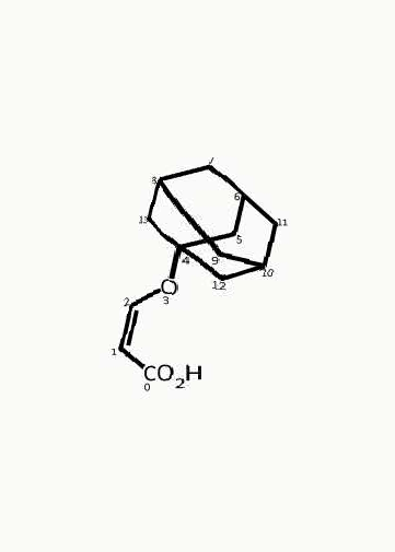 O=C(O)/C=C\OC12CC3CC(CC(C3)C1)C2